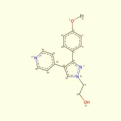 CCOc1ccc(-c2nn(CCO)cc2-c2ccncc2)cc1